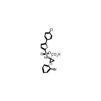 O=C(O)[C@]1(NS(=O)(=O)c2ccc(-c3ccc(Cl)cc3)s2)C[C@@H]1c1ccccc1Br